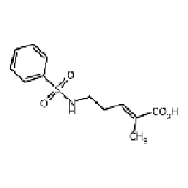 C/C(=C\CCNS(=O)(=O)c1ccccc1)C(=O)O